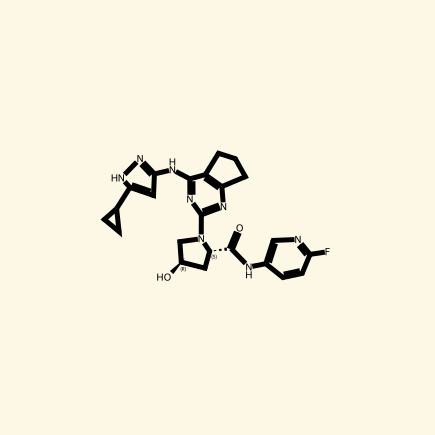 O=C(Nc1ccc(F)nc1)[C@@H]1C[C@@H](O)CN1c1nc2c(c(Nc3cc(C4CC4)[nH]n3)n1)CCC2